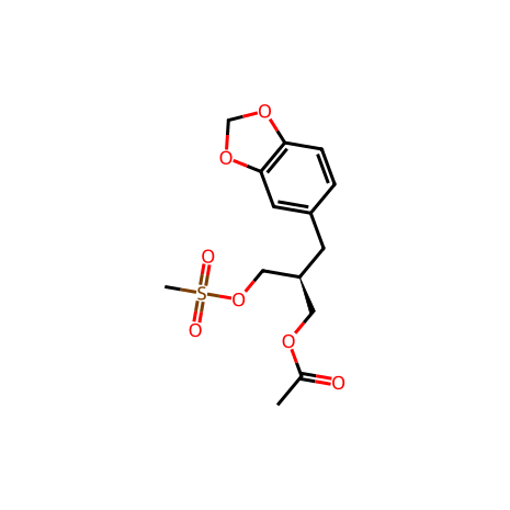 CC(=O)OC[C@@H](COS(C)(=O)=O)Cc1ccc2c(c1)OCO2